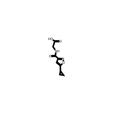 O=C(O)CNC(=O)c1cc(C2CC2)on1